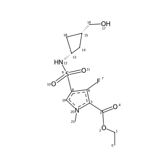 CCOC(=O)c1c(F)c(S(=O)(=O)N[C@H]2C[C@@H](CO)C2)cn1C